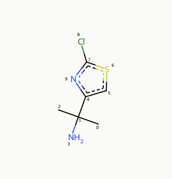 CC(C)(N)c1csc(Cl)n1